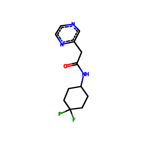 O=C(Cc1cnccn1)NC1CCC(F)(F)CC1